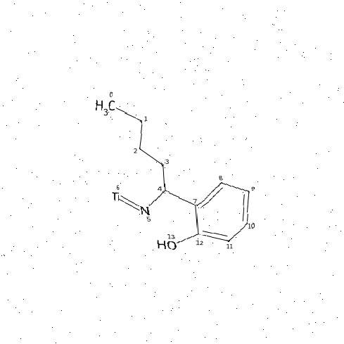 CCCCC([N]=[Ti])c1ccccc1O